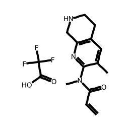 C=CC(=O)N(C)c1nc2c(cc1C)CCNC2.O=C(O)C(F)(F)F